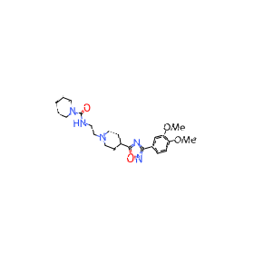 COc1ccc(-c2noc(C3CCN(CCNC(=O)N4CCCCC4)CC3)n2)cc1OC